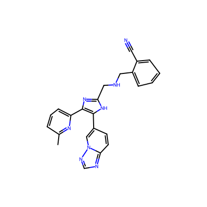 Cc1cccc(-c2nc(CNCc3ccccc3C#N)[nH]c2-c2ccc3ncnn3c2)n1